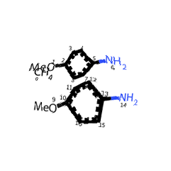 C.COc1ccc(N)cc1.COc1ccc(N)cc1